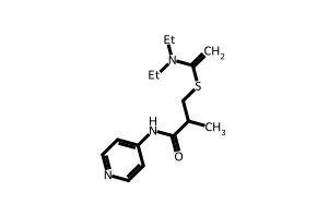 C=C(SCC(C)C(=O)Nc1ccncc1)N(CC)CC